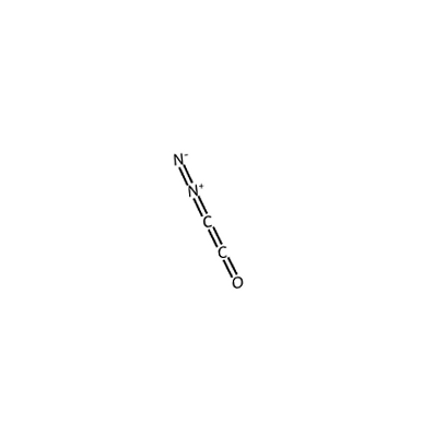 [N-]=[N+]=C=C=O